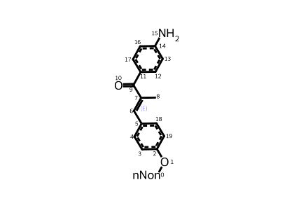 CCCCCCCCCOc1ccc(/C=C(\C)C(=O)c2ccc(N)cc2)cc1